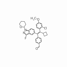 COc1ccc(/C(=C(/c2ccc(C=O)cc2)c2ccc3c(c2)c(F)nn3C2CCCCO2)C2CCC2)c(Cl)c1